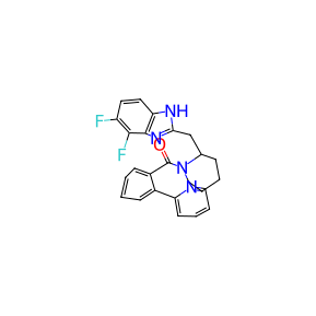 O=C(c1ccccc1-c1ccccn1)N1CCCCC1Cc1nc2c(F)c(F)ccc2[nH]1